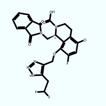 O=C1c2ccccc2C(=O)N1C[C@@H]1c2c(c(Cl)cc(F)c2OCc2nn[nH]c2CC(F)F)CCN1C(=O)O